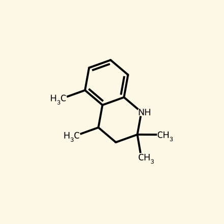 Cc1cccc2c1C(C)CC(C)(C)N2